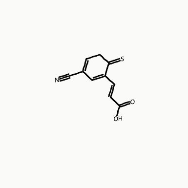 N#CC1=CCC(=S)C(C=CC(=O)O)=C1